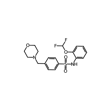 O=S(=O)(Nc1ccccc1OC(F)F)c1ccc(CN2CCOCC2)cc1